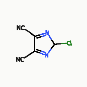 N#CC1=NC(Cl)N=C1C#N